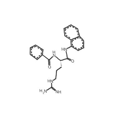 N=C(N)NCCC[C@H](NC(=O)c1ccccc1)C(=O)Nc1cccc2ccccc12